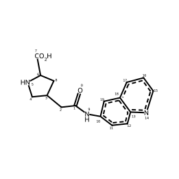 O=C(CC1CNC(C(=O)O)C1)Nc1ccc2ncccc2c1